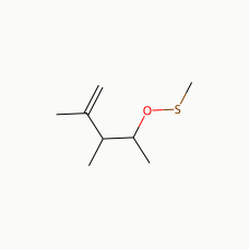 C=C(C)C(C)C(C)OSC